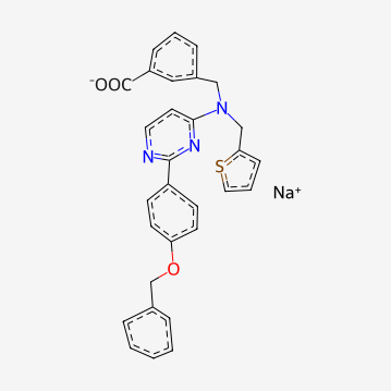 O=C([O-])c1cccc(CN(Cc2cccs2)c2ccnc(-c3ccc(OCc4ccccc4)cc3)n2)c1.[Na+]